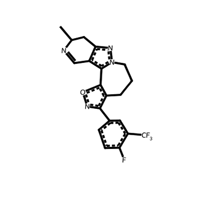 CC1Cc2nn3c(c2C=N1)-c1onc(-c2ccc(F)c(C(F)(F)F)c2)c1CCC3